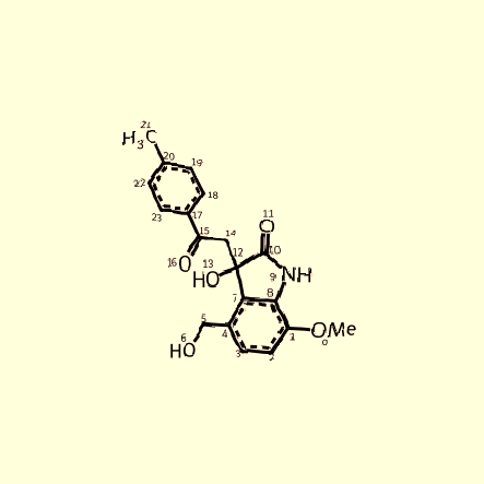 COc1ccc(CO)c2c1NC(=O)C2(O)CC(=O)c1ccc(C)cc1